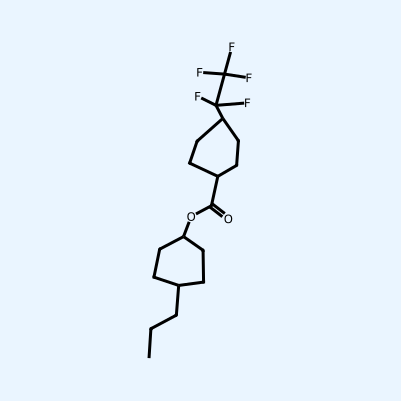 CCCC1CCC(OC(=O)C2CCC(C(F)(F)C(F)(F)F)CC2)CC1